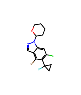 FC1(c2c(Cl)cc3c(cnn3C3CCCCO3)c2Br)CC1